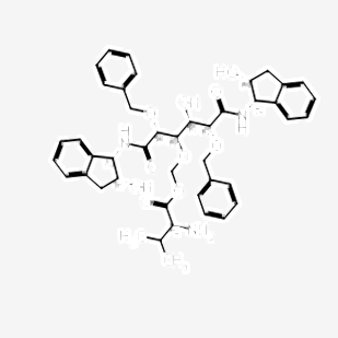 CC(C)[C@H](N)C(=O)OCO[C@H]([C@@H](O)[C@@H](OCc1ccccc1)C(=O)N[C@H]1c2ccccc2C[C@H]1O)[C@@H](OCc1ccccc1)C(=O)N[C@H]1c2ccccc2C[C@H]1O